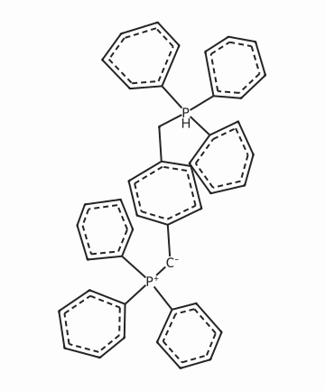 c1ccc([P+]([CH-]c2ccc(C[PH](c3ccccc3)(c3ccccc3)c3ccccc3)cc2)(c2ccccc2)c2ccccc2)cc1